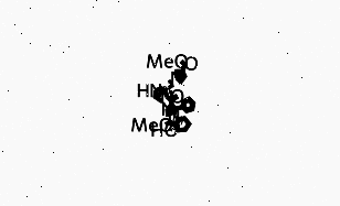 COC[C@]1(O)CCCC[C@H]1n1cnc(C(=O)N2CCNC[C@H]2CCn2ccc(C(=O)OC)c2)c1-c1ccccc1